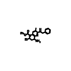 CCC1CC(N)c2nc(NCc3ccccc3)c(C)cc2N1C(=O)OC(C)C